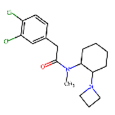 CN(C(=O)Cc1ccc(Cl)c(Cl)c1)C1CCCCC1N1CCC1